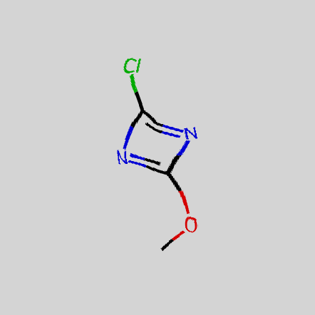 COC1=NC(Cl)=N1